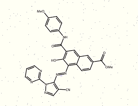 COC(=O)c1ccc2c(/N=N/c3c(C#N)cnn3-c3ncccn3)c(O)c(C(=O)Nc3ccc(OC)cc3)cc2c1